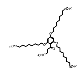 CCCCCCCCCCCCCCCCCCOc1cc(OCCCCCCCCCCCCCCCCCC)c(C(=O)CC[C]=O)c(OCCCCCCCCCCCCCCCCCC)c1